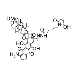 CO[C@H]1OCCN2[C@@H]1O[C@@H]1[C@H](C)O[C@@H](O[C@H]3C[C@](O)(/C(C)=N/NC(=O)CCCCCN4C(=O)C=CC4O)Cc4c(O)c5c(c(O)c43)C(=O)c3c(N)cccc3C5=O)C[C@@H]12